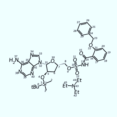 CC(C)(C)[Si](C)(C)O[C@@H]1C[C@@H](COS(=O)(=O)NC(=O)c2ccccc2OCc2ccccc2)O[C@H]1n1cnc2c(N)ncnc21.CCN(CC)CC